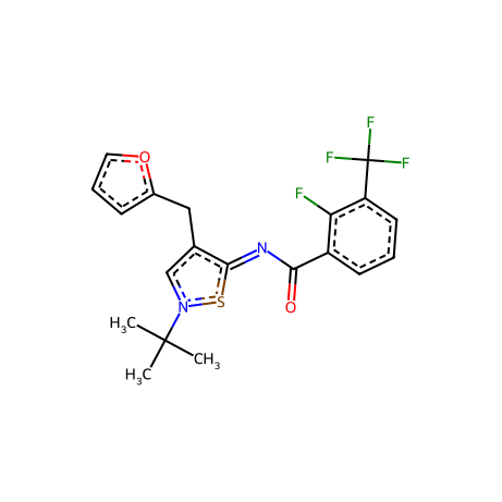 CC(C)(C)n1cc(Cc2ccco2)/c(=N/C(=O)c2cccc(C(F)(F)F)c2F)s1